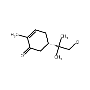 CC1=CC[C@H](C(C)(C)CCl)CC1=O